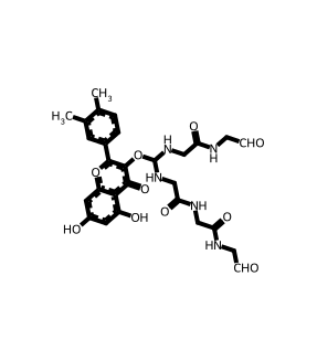 Cc1ccc(-c2oc3cc(O)cc(O)c3c(=O)c2OC(NCC(=O)NCC=O)NCC(=O)NCC(=O)NCC=O)cc1C